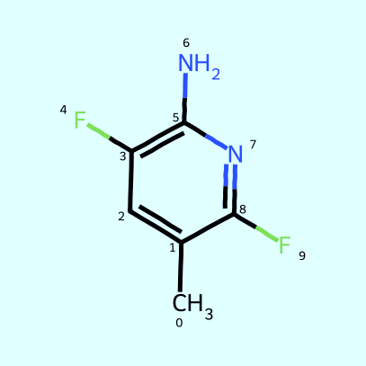 Cc1cc(F)c(N)nc1F